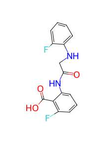 O=C(CNc1ccccc1F)Nc1cccc(F)c1C(=O)O